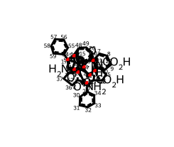 NC(=O)C1(Cc2ccccc2)Cc2ccc(cc2)[C@]1(C(=O)NC(=O)O)N1CCCC1N(c1ccccc1)C1CCCN1[C@@]1(C(=O)NC(=O)O)c2ccc(cc2)CC1(Cc1ccccc1)C(N)=O